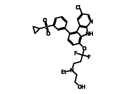 CCN(CCO)CCC(F)(F)Oc1ccc(-c2cccc(S(=O)(=O)C3CC3)c2)c2c1[nH]c1ncc(Cl)cc12